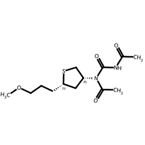 COCCC[C@H]1C[C@@H](N(C(C)=O)C(=O)NC(C)=O)CS1